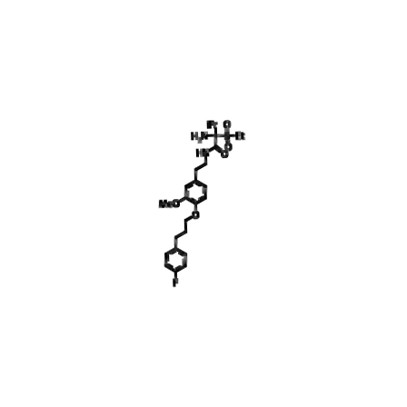 CCS(=O)(=O)C(N)(C(=O)NCCc1ccc(OCCCc2ccc(F)cc2)c(OC)c1)C(C)C